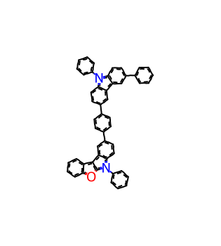 c1ccc(-c2ccc3c(c2)c2cc(-c4ccc(-c5ccc6c(c5)c5c7ccccc7oc5n6-c5ccccc5)cc4)ccc2n3-c2ccccc2)cc1